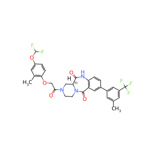 Cc1cc(-c2ccc3c(c2)C(=O)N2CCN(C(=O)COc4ccc(OC(F)F)cc4C)C[C@H]2C(=O)N3)cc(C(F)(F)F)c1